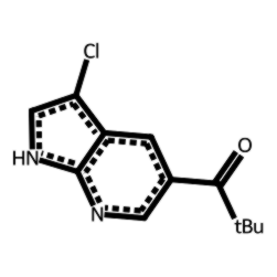 CC(C)(C)C(=O)c1cnc2[nH]cc(Cl)c2c1